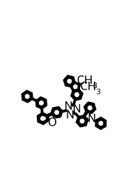 CC1(C)c2ccccc2-c2cc(-c3nc(-c4ccc5c(c4)oc4cccc(-c6cccc(-c7ccccc7)c6)c45)nc(-c4cccc5c4c4ccccc4n5-c4ccccc4)n3)ccc21